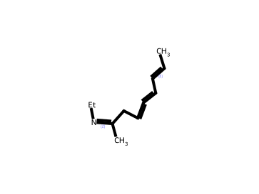 C/C=C/C=C=CC/C(C)=N\CC